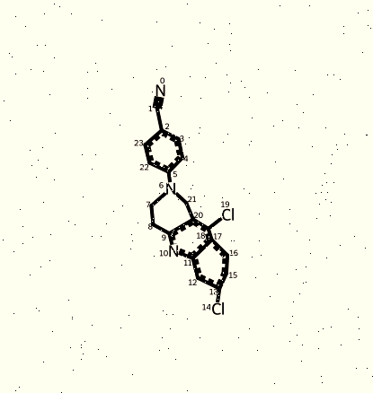 N#Cc1ccc(N2CCc3nc4cc(Cl)ccc4c(Cl)c3C2)cc1